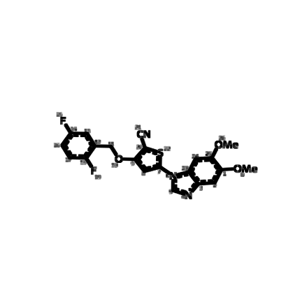 COc1cc2ncn(-c3cc(OCc4cc(F)ccc4F)c(C#N)s3)c2cc1OC